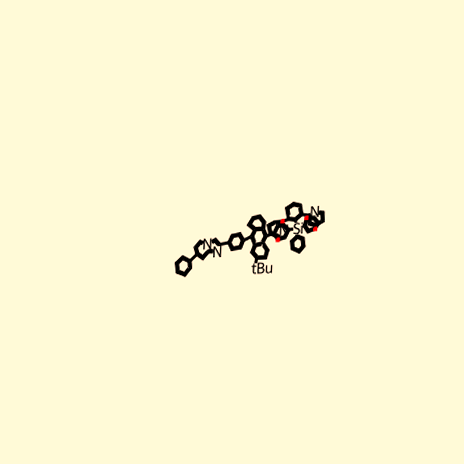 CC(C)(C)c1ccc2c(-c3ccc([Si](c4ccccc4)(c4ccccc4)c4c(-c5ccccn5)cccc4-c4ccccn4)cc3)c3ccccc3c(-c3ccc(-c4cn5ccc(-c6ccccc6)cc5n4)cc3)c2c1